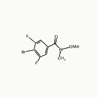 CON(C)C(=O)c1cc(F)c(Br)c(F)c1